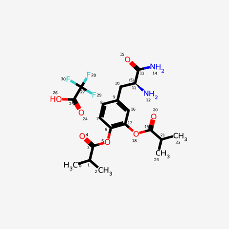 CC(C)C(=O)Oc1ccc(C[C@H](N)C(N)=O)cc1OC(=O)C(C)C.O=C(O)C(F)(F)F